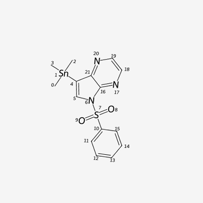 [CH3][Sn]([CH3])([CH3])[c]1cn(S(=O)(=O)c2ccccc2)c2nccnc12